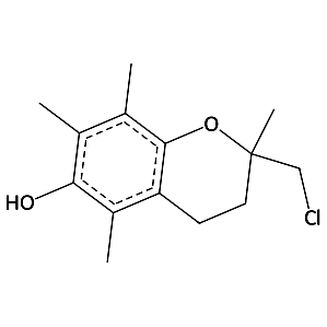 Cc1c(C)c2c(c(C)c1O)CCC(C)(CCl)O2